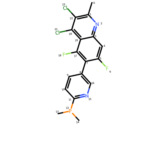 Cc1nc2cc(F)c(-c3ccc(P(C)C)nc3)c(F)c2c(Cl)c1Cl